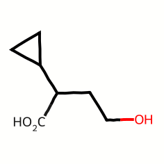 O=C(O)C(CCO)C1CC1